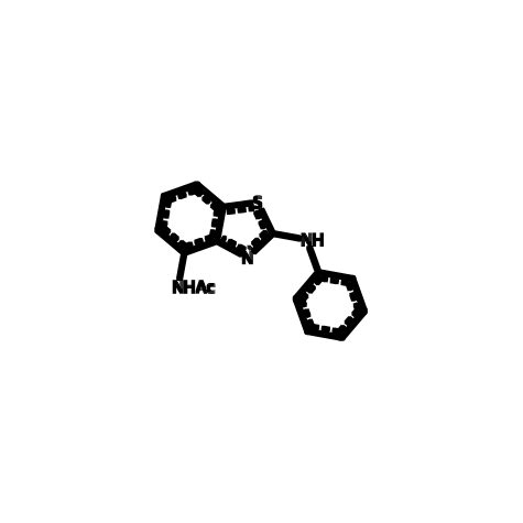 CC(=O)Nc1cccc2sc(Nc3ccccc3)nc12